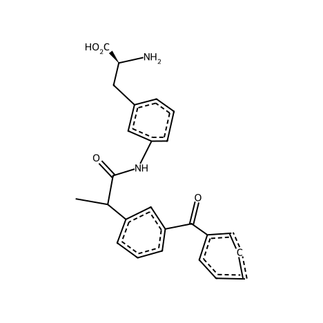 CC(C(=O)Nc1cccc(C[C@H](N)C(=O)O)c1)c1cccc(C(=O)c2ccccc2)c1